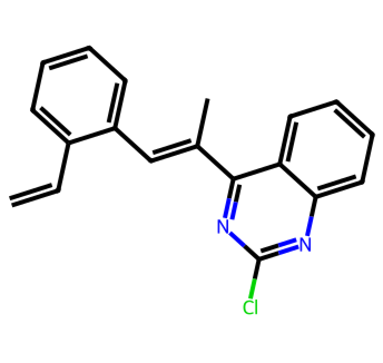 C=Cc1ccccc1/C=C(\C)c1nc(Cl)nc2ccccc12